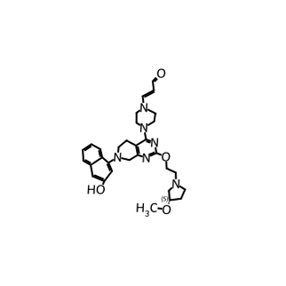 CO[C@H]1CCN(CCOc2nc3c(c(N4CCN(C=CC=O)CC4)n2)CCN(c2cc(O)cc4ccccc24)C3)C1